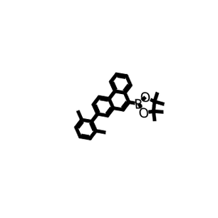 Cc1cccc(C)c1-c1ccc2c(c1)cc(B1OC(C)(C)C(C)(C)O1)c1ccccc12